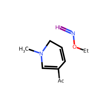 CC(=O)C1=CN(C)CC=C1.CCON=[IH]